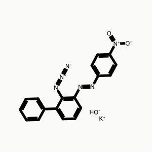 [K+].[N-]=[N+]=Nc1c(N=Nc2ccc([N+](=O)[O-])cc2)cccc1-c1ccccc1.[OH-]